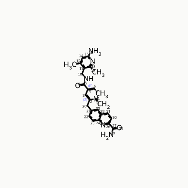 C=N/C(=C\C(=C/C)C(=O)NCc1c(C)cc(N)nc1C)Cc1ccc2nc(C(N)=O)ccc2c1